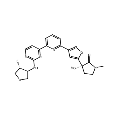 CN1CC[C@@](O)(c2cc(-c3cccc(-c4ccnc(NC5COC[C@@H]5F)n4)n3)no2)C1=O